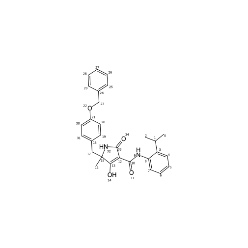 CC(C)c1ccccc1NC(=O)C1=C(O)C(C)(Cc2ccc(OCc3ccccc3)cc2)NC1=O